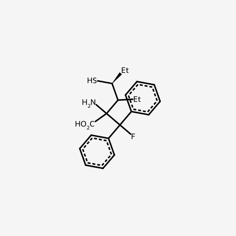 CCC([C@@H](S)CC)C(N)(C(=O)O)C(F)(c1ccccc1)c1ccccc1